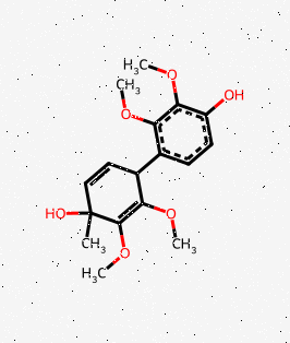 COC1=C(OC)C(C)(O)C=CC1c1ccc(O)c(OC)c1OC